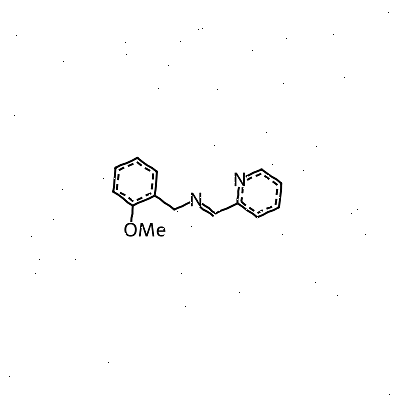 COc1ccccc1CN=Cc1ccccn1